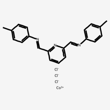 Cc1ccc(N=Cc2cccc(C=Nc3ccc(C)cc3)n2)cc1.[Cl-].[Cl-].[Cl-].[Co+3]